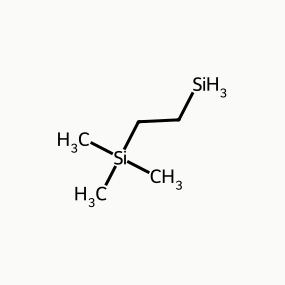 C[Si](C)(C)CC[SiH3]